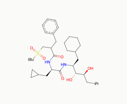 CC(C)C[C@H](O)[C@H](O)[C@H](CC1CCCCC1)NC(=O)[C@@H](CC1CC1)NC(=O)C(Cc1ccccc1)CS(=O)(=O)C(C)(C)C